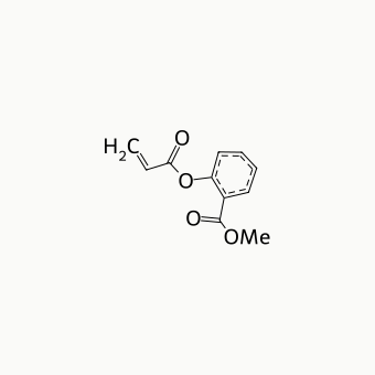 C=CC(=O)Oc1ccccc1C(=O)OC